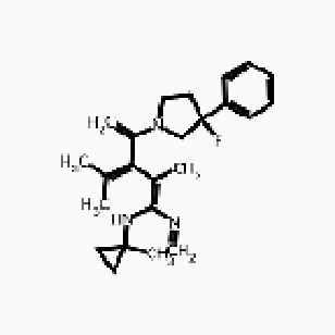 C=N/C(NC1(C)CC1)=C(\C)C(C(=C)N1CCC(F)(c2ccccc2)C1)=C(C)C